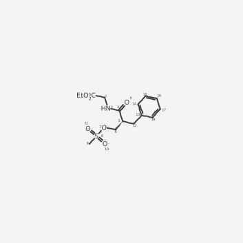 CCOC(=O)CNC(=O)[C@H](COS(C)(=O)=O)Cc1ccccc1